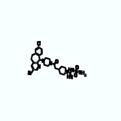 N=C(NS(N)(=O)=O)N1CCC(CC(=O)N2CCN(C3c4ccc(Cl)cc4CCc4cc(Br)cnc43)CC2)CC1